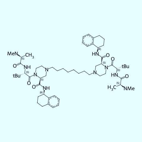 CN[C@@H](C)C(=O)N[C@H](C(=O)N1CCN(CCCCCCCCN2CCN(C(=O)[C@@H](NC(=O)[C@H](C)NC)C(C)(C)C)[C@H](C(=O)N[C@@H]3CCCc4ccccc43)C2)C[C@H]1C(=O)N[C@@H]1CCCc2ccccc21)C(C)(C)C